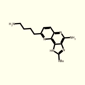 CCCCc1nc2c(N)nc3ccc(CCCCN)nc3c2[nH]1